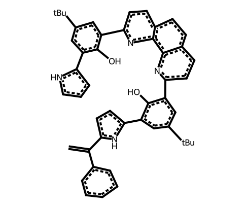 C=C(c1ccccc1)c1ccc(-c2cc(C(C)(C)C)cc(-c3ccc4ccc5ccc(-c6cc(C(C)(C)C)cc(-c7ccc[nH]7)c6O)nc5c4n3)c2O)[nH]1